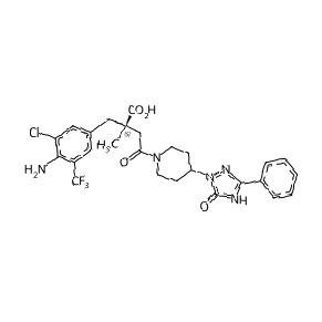 C[C@@](CC(=O)N1CCC(n2nc(-c3ccccc3)[nH]c2=O)CC1)(Cc1cc(Cl)c(N)c(C(F)(F)F)c1)C(=O)O